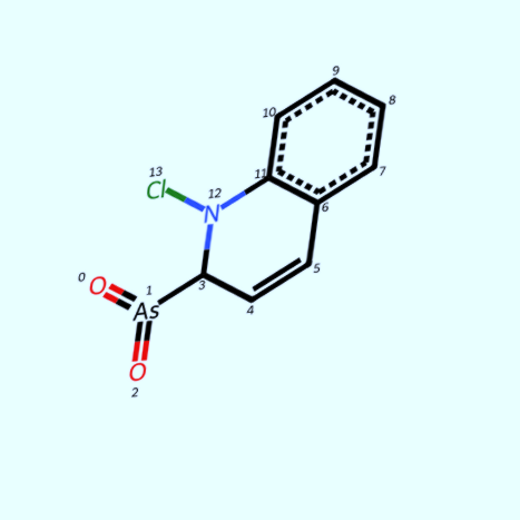 O=[As](=O)C1C=Cc2ccccc2N1Cl